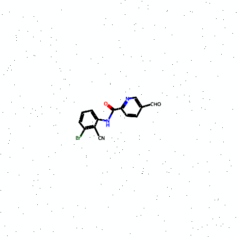 N#Cc1c(Br)cccc1NC(=O)c1ccc(C=O)cn1